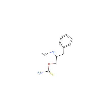 NC(=S)OCC(Cc1ccccc1)NC(=O)O